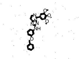 COc1cc(-c2nccc3nc(Nc4cccc(OCc5ccccc5)c4)nn23)cc(OC)c1OC